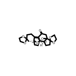 CC12CC(=O)C3=C4CCC5(C[C@]46CC[C@]3(O6)[C@@H]1CCC21OCCO1)OCCO5